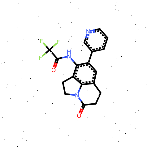 O=C1CCc2cc(-c3cccnc3)c(NC(=O)C(F)(F)F)c3c2N1CC3